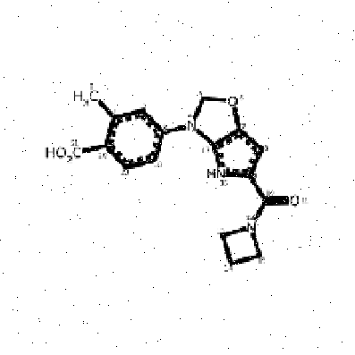 Cc1cc(N2COc3cc(C(=O)N4CCC4)[nH]c32)ccc1C(=O)O